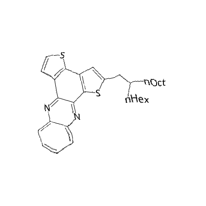 CCCCCCCCC(CCCCCC)Cc1cc2c3sccc3c3nc4ccccc4nc3c2s1